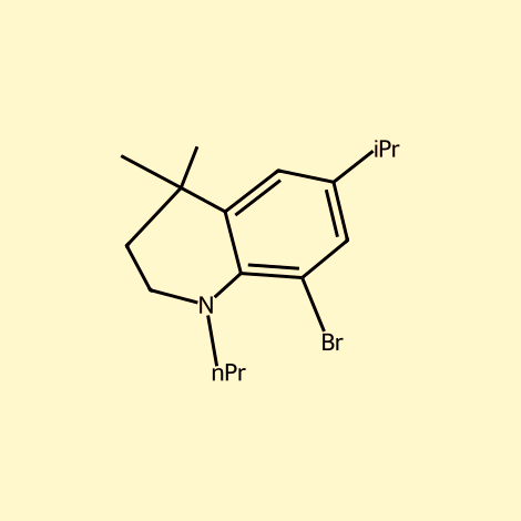 CCCN1CCC(C)(C)c2cc(C(C)C)cc(Br)c21